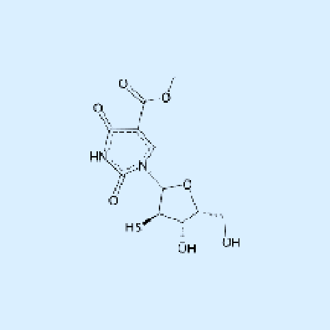 COC(=O)c1cn([C@@H]2O[C@H](CO)[C@H](O)[C@H]2S)c(=O)[nH]c1=O